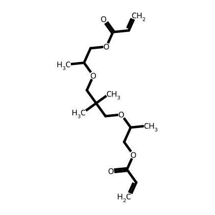 C=CC(=O)OCC(C)OCC(C)(C)COC(C)COC(=O)C=C